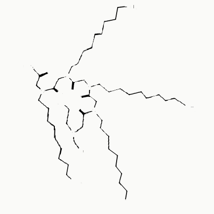 CCCCCCCCCCN(CC(N)=O)C(=O)CN(CCCCCCCCCC)C(=O)CN(CCCCCCCCCC)C(=O)CN(CCCCCCCCCC)C(=O)CN(CC)CCO